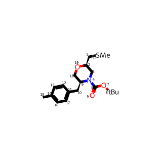 CSC[C@H]1CN(C(=O)OC(C)(C)C)[C@@H](Cc2ccc(C)cc2)CO1